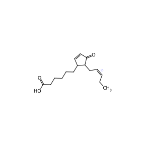 CC/C=C\CC1C(=O)C=CC1CCCCCC(=O)O